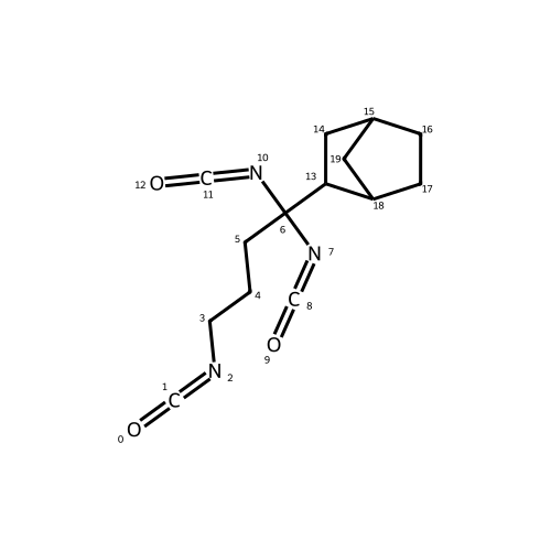 O=C=NCCCC(N=C=O)(N=C=O)C1CC2CCC1C2